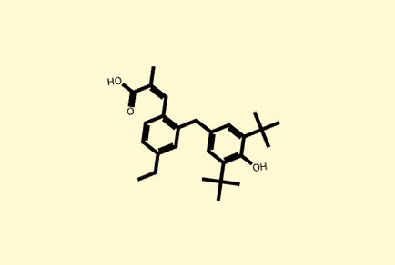 CCc1ccc(C=C(C)C(=O)O)c(Cc2cc(C(C)(C)C)c(O)c(C(C)(C)C)c2)c1